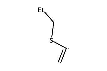 C=[C]SCCC